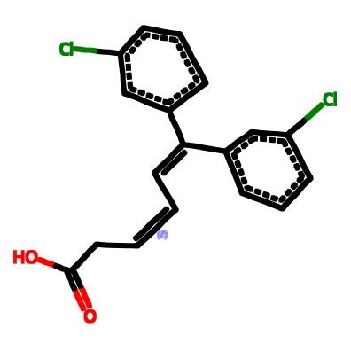 O=C(O)C/C=C\C=C(c1cccc(Cl)c1)c1cccc(Cl)c1